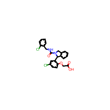 O=C(O)COc1ccc(Cl)cc1C1c2ccccc2CN1C(=O)NCc1ccccc1Cl